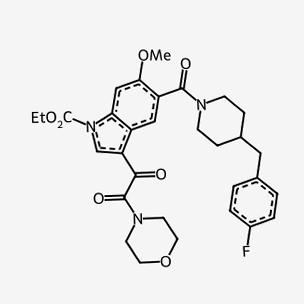 CCOC(=O)n1cc(C(=O)C(=O)N2CCOCC2)c2cc(C(=O)N3CCC(Cc4ccc(F)cc4)CC3)c(OC)cc21